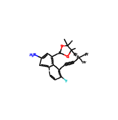 CC(C)[Si](C#Cc1c(F)ccc2cc(N)cc(B3OC(C)(C)C(C)(C)O3)c12)(C(C)C)C(C)C